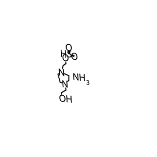 N.O=[SH](=O)OCCN1CCN(CCO)CC1